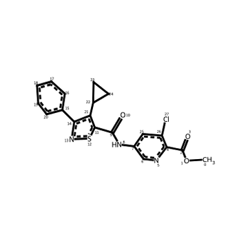 COC(=O)c1ncc(NC(=O)c2snc(-c3ccccc3)c2C2CC2)cc1Cl